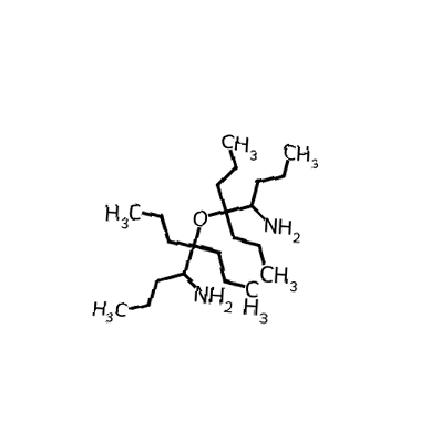 CCCC(N)C(CCC)(CCC)OC(CCC)(CCC)C(N)CCC